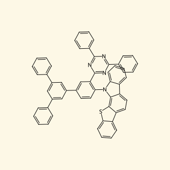 c1ccc(-c2cc(-c3ccccc3)cc(-c3ccc(-n4c5ccccc5c5ccc6c7ccccc7sc6c54)c(-c4nc(-c5ccccc5)nc(-c5ccccc5)n4)c3)c2)cc1